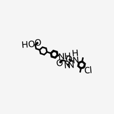 Cc1cc(Nc2nnc(C(=O)Nc3ccc(C4CCC(CC(=O)O)CC4)cc3)o2)c(C)cc1Cl